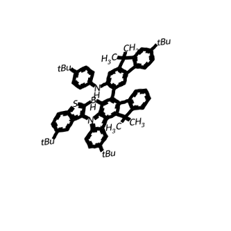 CC(C)(C)c1ccc(Nc2cc3c(cc2-c2c4c(c5c6cc(C(C)(C)C)ccc6n6c5c2Bc2sc5ccc(C(C)(C)C)cc5c2-6)C(C)(C)c2ccccc2-4)-c2ccc(C(C)(C)C)cc2C3(C)C)cc1